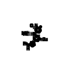 CCCCc1cc(N2CC[C@H](NCC)C2)nc(Nc2ccc(C)c([N+](=O)[O-])c2)n1.Cl.Cl